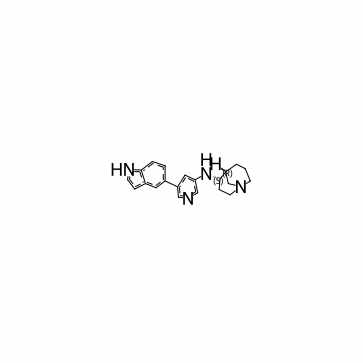 c1cc2cc(-c3cncc(N[C@H]4CCN5CCC[C@@H]4C5)c3)ccc2[nH]1